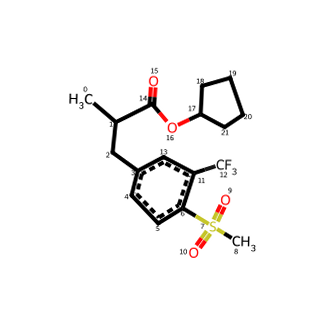 CC(Cc1ccc(S(C)(=O)=O)c(C(F)(F)F)c1)C(=O)OC1CCCC1